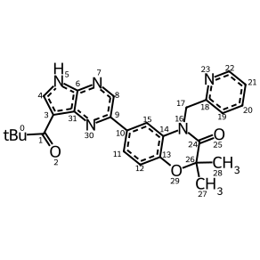 CC(C)(C)C(=O)c1c[nH]c2ncc(-c3ccc4c(c3)N(Cc3ccccn3)C(=O)C(C)(C)O4)nc12